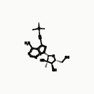 C[C@@]1(O)[C@H](O)[C@@H](CO)O[C@H]1c1cc(C#C[Si](C)(C)C)c2c(N)ncnn12